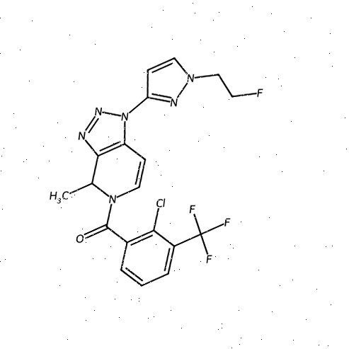 CC1c2nnn(-c3ccn(CCF)n3)c2C=CN1C(=O)c1cccc(C(F)(F)F)c1Cl